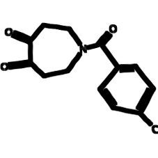 O=C1CCN(C(=O)c2ccc(Cl)cc2)CCC1=O